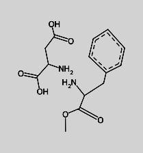 COC(=O)C(N)Cc1ccccc1.NC(CC(=O)O)C(=O)O